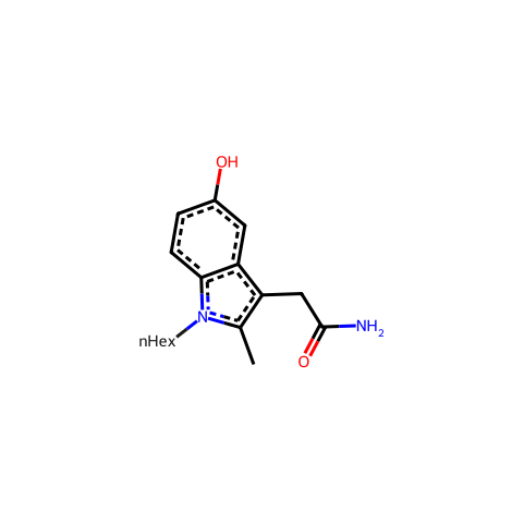 CCCCCCn1c(C)c(CC(N)=O)c2cc(O)ccc21